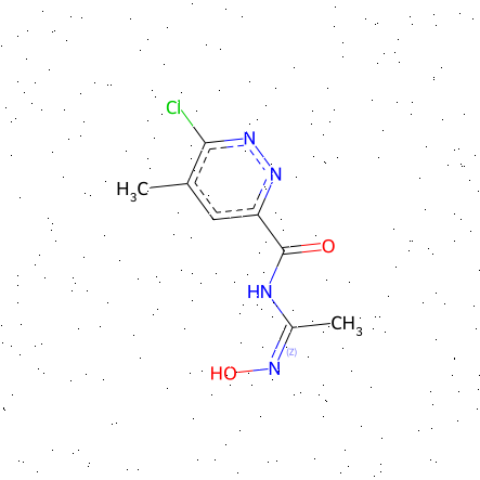 C/C(=N/O)NC(=O)c1cc(C)c(Cl)nn1